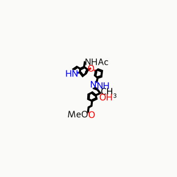 COC(=O)CCc1cccc(C(C)(O)c2cnc(-c3cccc(Oc4ccc5[nH]ccc5c4CNC(C)=O)c3)[nH]2)c1